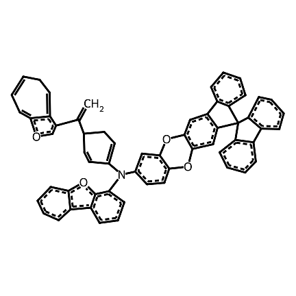 C=C(c1coc2c1=CCC=CC=2)C1C=CC(N(c2ccc3c(c2)Oc2cc4c(cc2O3)C2(c3ccccc3-c3ccccc32)c2ccccc2-4)c2cccc3c2oc2ccccc23)=CC1